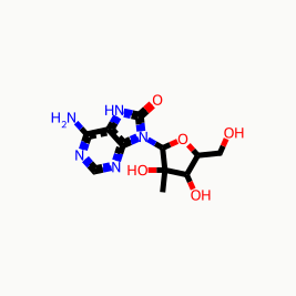 CC1(O)C(O)C(CO)OC1n1c(=O)[nH]c2c(N)ncnc21